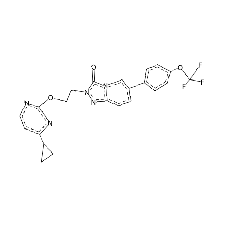 O=c1n(CCOc2nccc(C3CC3)n2)nc2ccc(-c3ccc(OC(F)(F)F)cc3)cn12